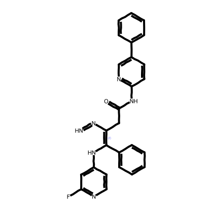 N=N/C(CC(=O)Nc1ccc(-c2ccccc2)cn1)=C(\Nc1ccnc(F)c1)c1ccccc1